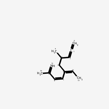 C=C=CC(C)CC(/C=C\C(C)=N)=C/C